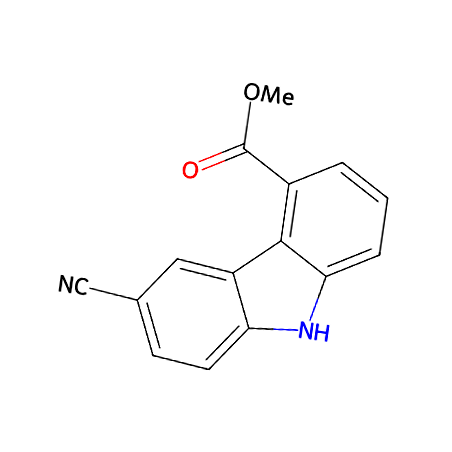 COC(=O)c1cccc2[nH]c3ccc(C#N)cc3c12